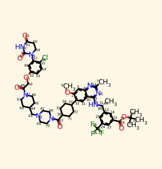 COc1cc2nc(C)nc(N[C@H](C)c3cc(C(=O)OC(C)(C)C)cc(C(F)(F)F)c3)c2cc1C1CCC(C(=O)N2CCN(CC3CCN(C(=O)COc4ccc(Cl)c(N5CCC(=O)NC5=O)c4)CC3)CC2)CC1